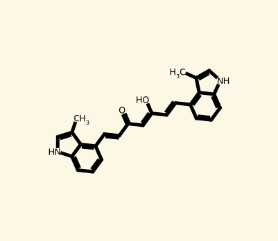 Cc1c[nH]c2cccc(/C=C/C(=O)/C=C(O)/C=C/c3cccc4[nH]cc(C)c34)c12